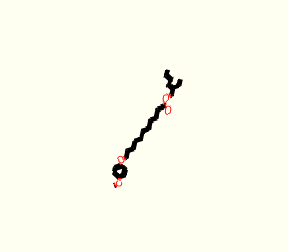 CCCCC(CC)COC(=O)CCCCCCCCCCOc1ccc(OC)cc1